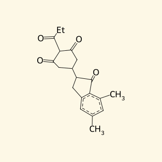 CCC(=O)C1C(=O)CC(C2Cc3cc(C)cc(C)c3C2=O)CC1=O